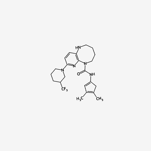 CC1=C(C)CC(NC(=O)N2CCCCNc3ccc(N4CCCC(C(F)(F)F)C4)nc32)=C1